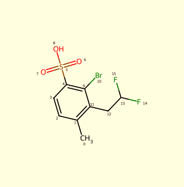 Cc1ccc(S(=O)(=O)O)c(Br)c1CC(F)F